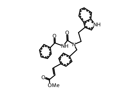 COC(=O)/C=C/c1ccc(CN(CCc2c[nH]c3ccccc23)C(=O)NC(=O)c2ccccc2)cc1